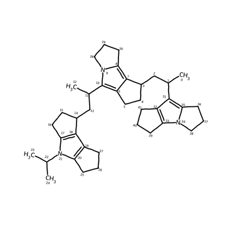 CC(CC1CCc2c1c1n(c2C(C)CC2CCc3c2c2c(n3C(C)C)CCC2)CCC1)c1c2c(n3c1CCC3)CCC2